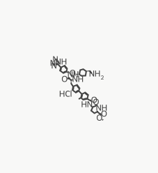 COC(=O)C1CCC(NC(=O)c2ccc(-c3ccc(C[C@H](NC(=O)[C@H]4CC[C@H](CN)CC4)C(=O)Nc4ccc(-c5nnn[nH]5)cc4)cc3)c(C)c2)C(=O)N1.Cl